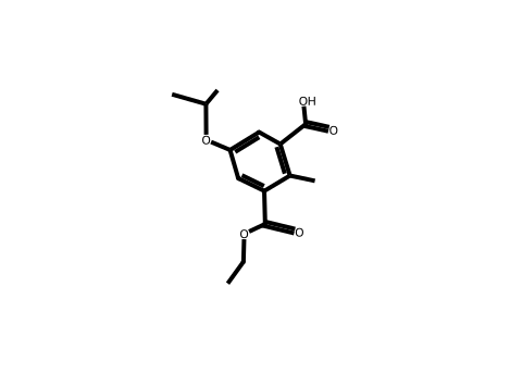 CCOC(=O)c1cc(OC(C)C)cc(C(=O)O)c1C